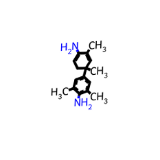 CC1=CC(C)(c2cc(C)c(N)c(C)c2)CC=C1N